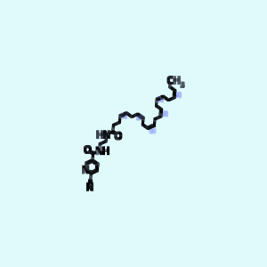 CC/C=C\C/C=C\C/C=C\C/C=C\C/C=C\C/C=C\CCC(=O)NCCNC(=O)c1ccc(C#N)nc1